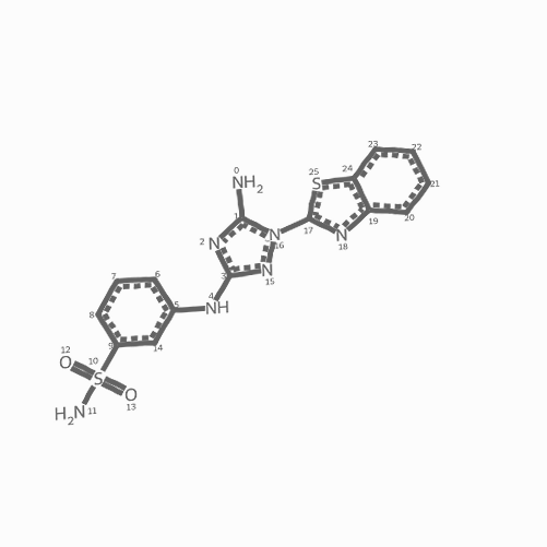 Nc1nc(Nc2cccc(S(N)(=O)=O)c2)nn1-c1nc2ccccc2s1